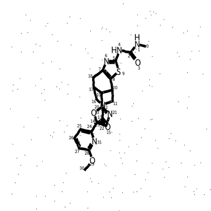 CNC(=O)Nc1nc2c(s1)C1CN(C(C)=O)CC(C2)C1c1ncc(-c2cccc(OC)n2)o1